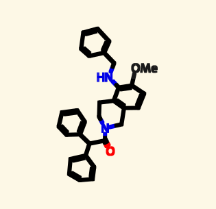 COc1ccc2c(c1NCc1ccccc1)CCN(C(=O)C(c1ccccc1)c1ccccc1)C2